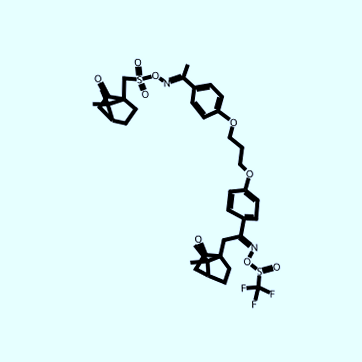 C/C(=N\OS(=O)(=O)CC12CCC(CC1=O)C2(C)C)c1ccc(OCCCOc2ccc(/C(CC34CCC(CC3=O)C4(C)C)=N/OS(=O)C(F)(F)F)cc2)cc1